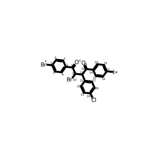 O=C(c1ccc(Br)cc1)C(Br)C(C(=O)c1ccc(I)cc1)c1ccc(Cl)cc1